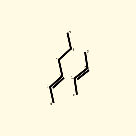 C/C=C/C.C/C=C/CCC